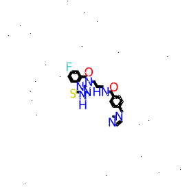 O=C(NCCCn1c(=O)c2cc(F)ccc2n2c(=S)[nH]nc12)c1ccc(Cn2ccnc2)cc1